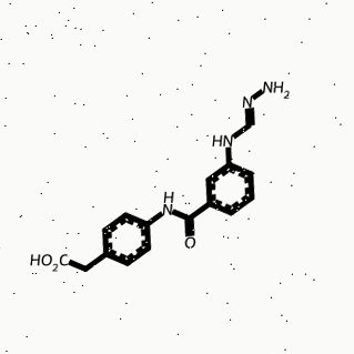 NN=CNc1cccc(C(=O)Nc2ccc(CC(=O)O)cc2)c1